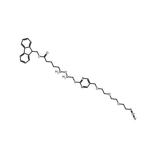 [N-]=[N+]=NCCOCCOCCOCc1cnc(SC[SiH2]O[SiH2]CCCCC(=O)OCC2c3ccccc3-c3ccccc32)nc1